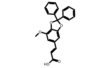 COc1cc(C=CC(=O)O)cc2c1OC(c1ccccc1)(c1ccccc1)O2